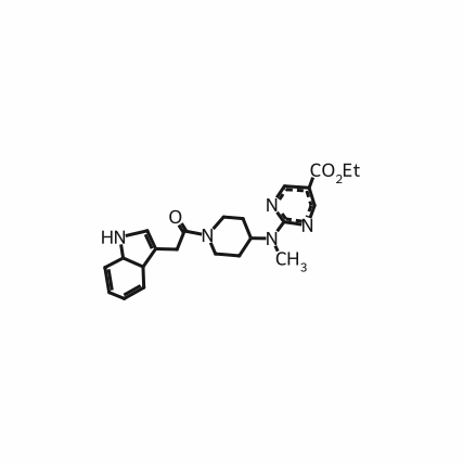 CCOC(=O)c1cnc(N(C)C2CCN(C(=O)CC3=CNC4C=CC=CC34)CC2)nc1